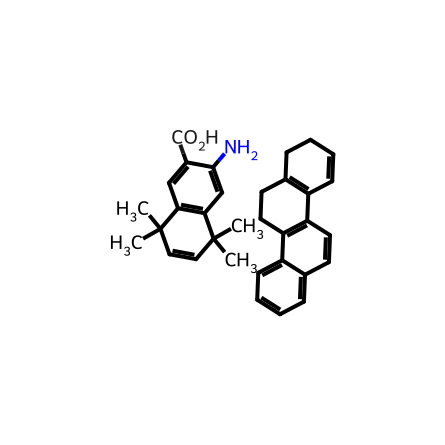 C1=CC2=C(CC1)CCc1c2ccc2ccccc12.CC1(C)C=CC(C)(C)c2cc(C(=O)O)c(N)cc21